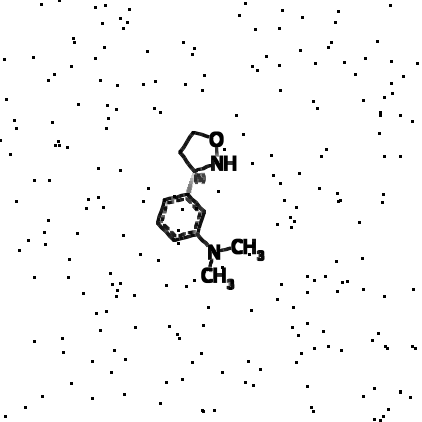 CN(C)c1cccc([C@@H]2CCON2)c1